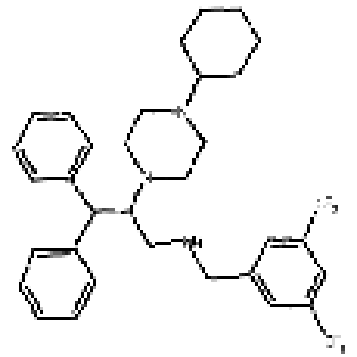 FC(F)(F)c1cc(CNCC(C(c2ccccc2)c2ccccc2)N2CCN(C3CCCCC3)CC2)cc(C(F)(F)F)c1